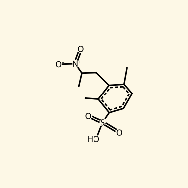 Cc1ccc(S(=O)(=O)O)c(C)c1CC(C)[N+](=O)[O-]